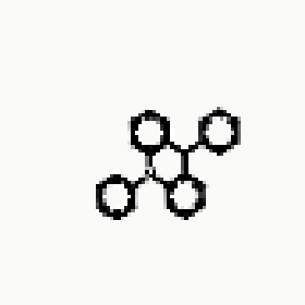 [c]1cccc2c1C(c1ccccc1)c1ccccc1N2c1ccccc1